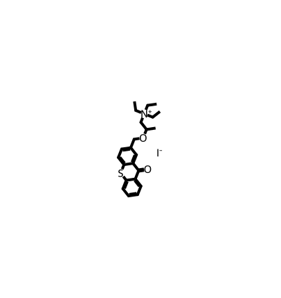 CC[N+](CC)(CC)CC(C)OCc1ccc2sc3ccccc3c(=O)c2c1.[I-]